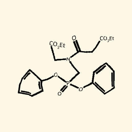 CCOC(=O)CC(=O)N(CC(=O)OCC)CP(=O)(Oc1ccccc1)Oc1ccccc1